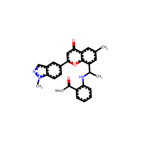 COC(=O)c1ccccc1NC(C)c1cc(C)cc2c(=O)cc(-c3ccc4c(cnn4C)c3)oc12